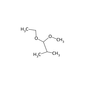 CCOC(OC)C(C)C